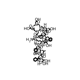 CC(C)C[C@@H](NC(=O)[C@H](Cc1ccc(O)cc1)NC(=O)C(CCCNC(=N)N)NC(=O)C(CO)NC(=O)C(Cc1ccccc1)NC(=O)[C@H](CC1CCCCC1)NC(=O)[C@@H](CC(=O)O)NC(=O)CN1CCN(CC(=O)O)CCN(CC(=O)O)CCN(CC(=O)O)CC1)C(O)N[C@@H](Cc1c[nH]c2ccccc12)C(=O)N[C@@H](CO)C(=O)O